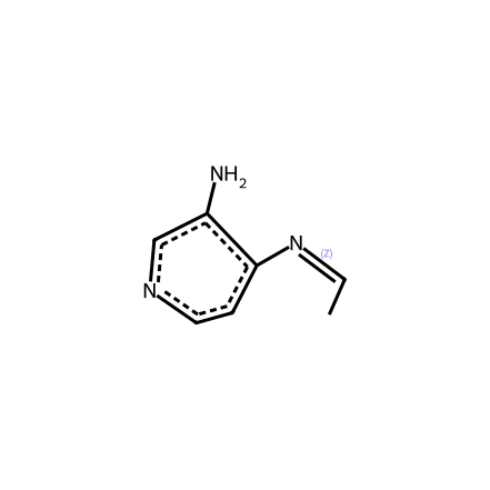 C/C=N\c1ccncc1N